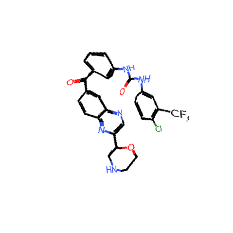 O=C(Nc1cccc(C(=O)c2ccc3nc(C4CNCCO4)cnc3c2)c1)Nc1ccc(Cl)c(C(F)(F)F)c1